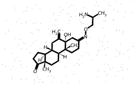 C=C1C[C@H]2[C@@H]3CCC(=O)[C@@]3(C)CC[C@@H]2[C@@]2(C)CC/C(=N/OCC(C)N)C[C@]12O